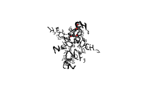 Cc1ccc2c(c1)c1cc(C)ccc1n2-c1cc(C#N)c(-c2ccc(C#N)cc2C(F)(F)F)cc1-n1c2ccc(C)cc2c2cc(C)ccc21